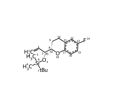 C=C[C@@H](O[Si](C)(C)C(C)(C)C)[C@@H]1CCc2cc(F)ccc2O1